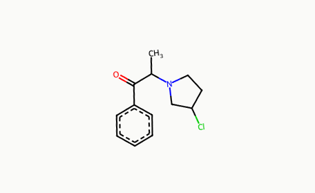 CC(C(=O)c1ccccc1)N1CCC(Cl)C1